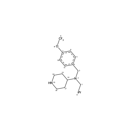 CC(C)CN(Cc1ccc(OC(F)(F)F)cc1)C1CCNCC1